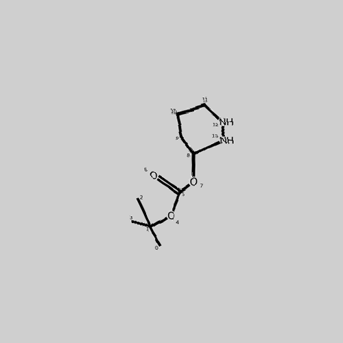 CC(C)(C)OC(=O)OC1CCCNN1